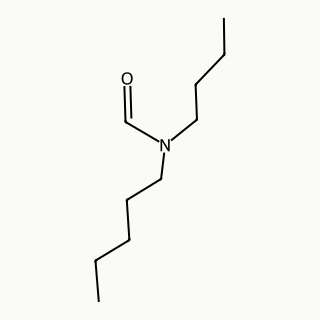 CCCCCN(C=O)CCCC